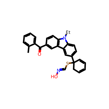 CCn1c2ccc(C(=O)c3ccccc3C)cc2c2cc(C3(SC=NO)C=CC=CC3)ccc21